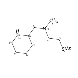 CSCCN(C)CC1CCCCN1